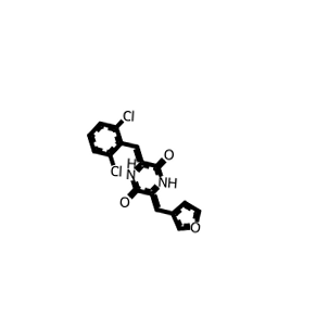 O=c1[nH]/c(=C\c2c(Cl)cccc2Cl)c(=O)[nH]/c1=C\c1ccoc1